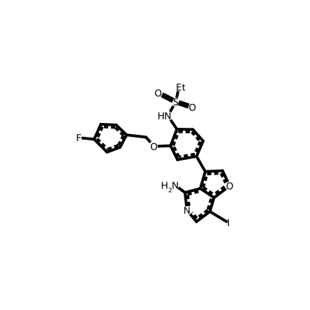 CCS(=O)(=O)Nc1ccc(-c2coc3c(I)cnc(N)c23)cc1OCc1ccc(F)cc1